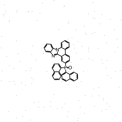 O=P(c1ccc2c3ccccc3n3c4ccccc4nc3c2c1)(c1cccc2ccccc12)c1cccc2ccccc12